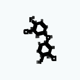 Fc1ccc(Oc2ccc(F)c(Cl)c2)cc1Cl